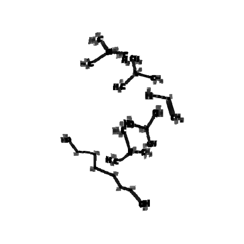 C=CCC.CN(C)C.CN(C)C.CN(C)C.OB(O)O.OCCCCCCO